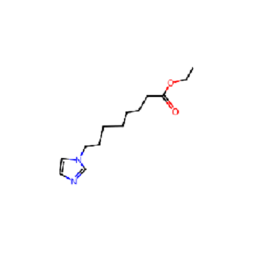 CCOC(=O)CCCCCCCn1ccnc1